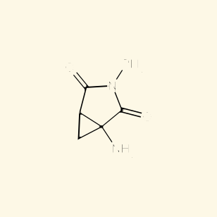 NC12CC1C(=O)N(P)C2=O